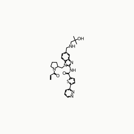 C=CC(=O)N1CCCC1Cn1c(NC(=O)c2ccc(-c3cccnn3)s2)nc2cc(CNCC(C)(C)O)ccc21